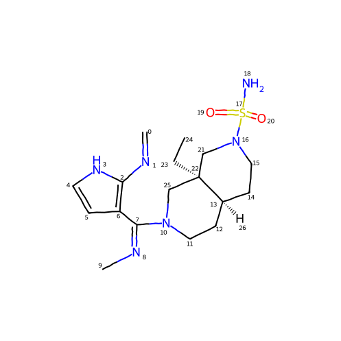 C=Nc1[nH]ccc1/C(=N\C)N1CC[C@@H]2CCN(S(N)(=O)=O)C[C@]2(CC)C1